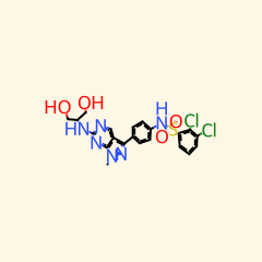 Cn1nc(-c2ccc(NS(=O)(=O)c3cccc(Cl)c3Cl)cc2)c2cnc(NC(CO)CO)nc21